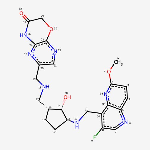 COc1ccc2ncc(F)c(CN[C@@H]3CC[C@H](CNCc4cnc5c(n4)NC(=O)CO5)[C@@H]3O)c2n1